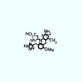 CCCC(CC(=O)O)Nc1nc(N)nc(C)c1Cc1cc(Cc2nn[nH]n2)ccc1OC